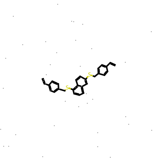 C=Cc1ccc(CSc2ccc3c(SCc4ccc(C=C)cc4)cccc3c2)cc1